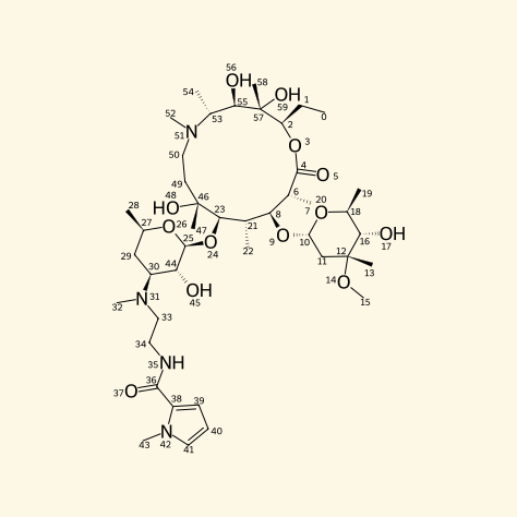 CC[C@H]1OC(=O)[C@H](C)[C@@H](O[C@H]2C[C@@](C)(OC)[C@@H](O)[C@H](C)O2)[C@H](C)[C@@H](O[C@@H]2O[C@H](C)C[C@H](N(C)CCNC(=O)c3cccn3C)[C@H]2O)[C@](C)(O)CCN(C)[C@H](C)[C@@H](O)[C@]1(C)O